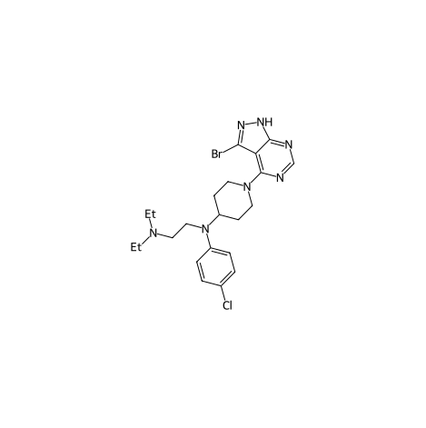 CCN(CC)CCN(c1ccc(Cl)cc1)C1CCN(c2ncnc3[nH]nc(Br)c23)CC1